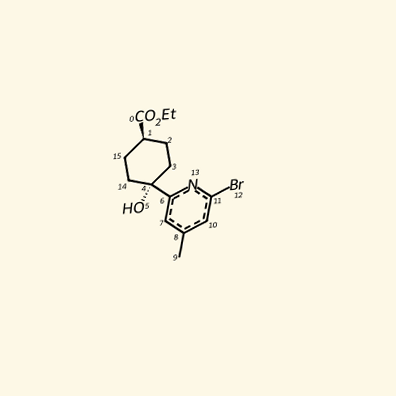 CCOC(=O)[C@H]1CC[C@@](O)(c2cc(C)cc(Br)n2)CC1